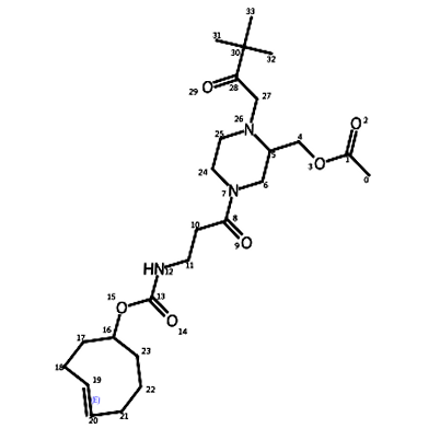 CC(=O)OCC1CN(C(=O)CCNC(=O)OC2CC/C=C/CCC2)CCN1CC(=O)C(C)(C)C